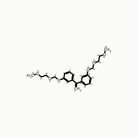 C=C(c1cccc(OCOCCOC)c1)c1cccc(OCOCCOC)c1